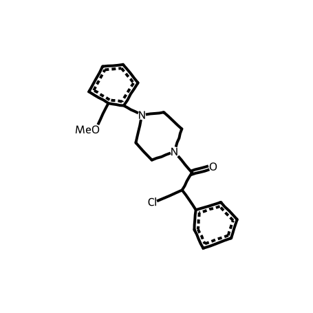 COc1ccccc1N1CCN(C(=O)C(Cl)c2ccccc2)CC1